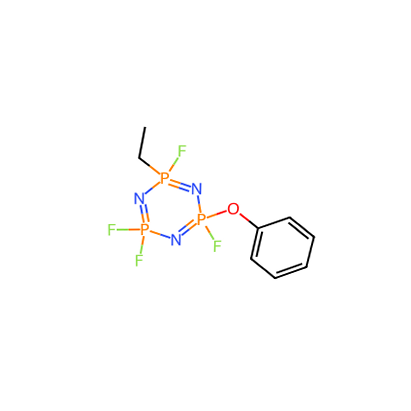 CCP1(F)=NP(F)(Oc2ccccc2)=NP(F)(F)=N1